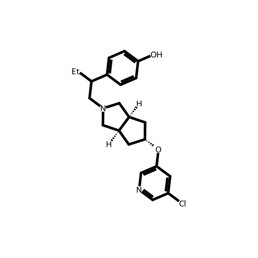 CCC(CN1C[C@H]2C[C@H](Oc3cncc(Cl)c3)C[C@H]2C1)c1ccc(O)cc1